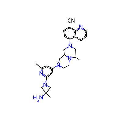 Cc1cc(N2CCN3C(C)CN(c4ccc(C#N)c5ncccc45)CC3C2)cc(N2CC(C)(N)C2)n1